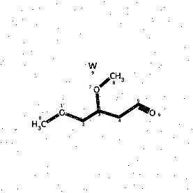 COCC(CC=O)OC.[W]